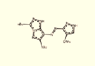 CCCCc1nn2c(CCCC)n[nH]c2c1N=Nc1n[nH]cc1OC